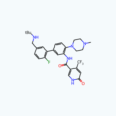 CN1CCN(c2ccc(-c3cc(CNC(C)(C)C)ccc3F)cc2NC(=O)c2c[nH]c(=O)cc2C(F)(F)F)CC1